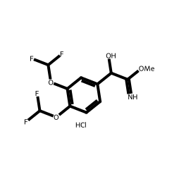 COC(=N)C(O)c1ccc(OC(F)F)c(OC(F)F)c1.Cl